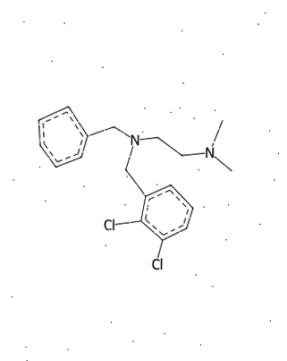 CN(C)CCN(Cc1ccccc1)Cc1cccc(Cl)c1Cl